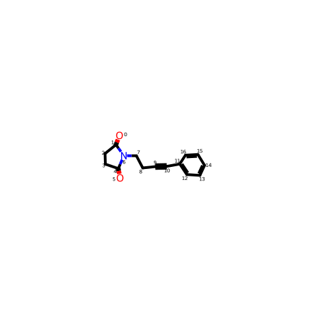 O=C1CCC(=O)N1CCC#Cc1ccccc1